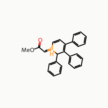 COC(=O)C=[PH]1C=CC(c2ccccc2)=C(c2ccccc2)C1c1ccccc1